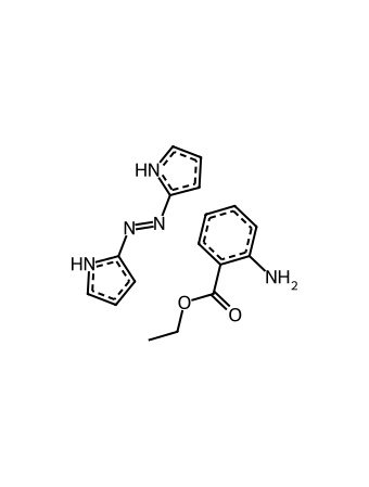 CCOC(=O)c1ccccc1N.c1c[nH]c(N=Nc2ccc[nH]2)c1